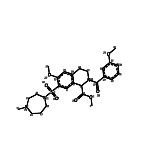 COC(=O)C1c2cc(S(=O)(=O)N3CCCN(C)CC3)c(OC)cc2CCN1C(=O)c1ccnc(OC)c1